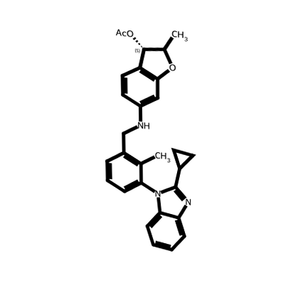 CC(=O)O[C@H]1c2ccc(NCc3cccc(-n4c(C5CC5)nc5ccccc54)c3C)cc2OC1C